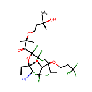 BC(C)(O)CCOC(C)(C)C(=O)C(F)(OC(CC)(CN)CC(C(F)(F)F)C(C)(CC)OCCC(F)(F)F)C(F)(F)F